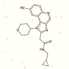 N#Cc1ccc2ncc3nc(CC(=O)NCC4CC4)n(C4CCOCC4)c3c2c1